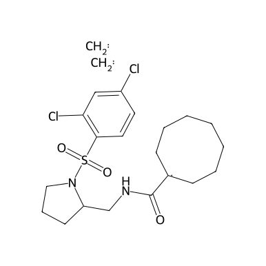 O=C(NCC1CCCN1S(=O)(=O)c1ccc(Cl)cc1Cl)[C]1CCCCCCC1.[CH2].[CH2]